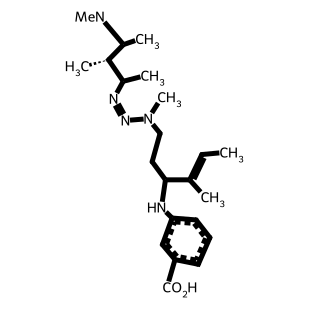 C/C=C(\C)C(CCN(C)/N=N\C(C)[C@H](C)C(C)NC)Nc1cccc(C(=O)O)c1